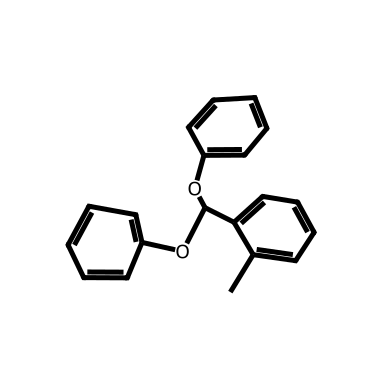 Cc1ccccc1C(Oc1ccccc1)Oc1ccccc1